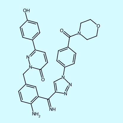 N=C(c1cn(-c2ccc(C(=O)N3CCOCC3)cc2)nn1)c1cc(Cn2nc(-c3ccc(O)cc3)ccc2=O)ccc1N